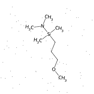 COCCC[Si](C)(C)N(C)C